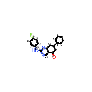 O=C1CC(c2ccccc2)Cc2nc(Nc3ccc(F)cc3)ncc21